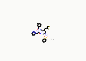 COc1ccccc1S(=O)(=O)NC1CC(Cc2ccsc2)C2CN(C(=O)c3cccc(C)c3)C(N)(Cc3ccccc3)C(=O)N2C1